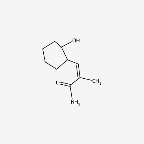 CC(=CC1CCCCC1O)C(N)=O